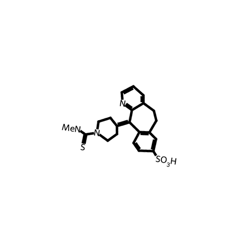 CNC(=S)N1CCC(=C2c3ccc(S(=O)(=O)O)cc3CCc3cccnc32)CC1